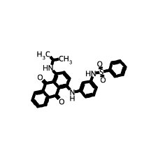 CC(C)Nc1ccc(Nc2cccc(NS(=O)(=O)c3ccccc3)c2)c2c1C(=O)c1ccccc1C2=O